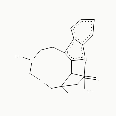 CCC12CCCN(C#N)CCc3c(n(c4ccccc34)C(=O)C1)C2COC